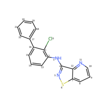 Clc1c(Nc2nsc3cccnc23)cccc1-c1ccccc1